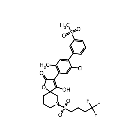 Cc1cc(-c2cccc(S(C)(=O)=O)c2)c(Cl)cc1C1=C(O)C2(CCCN(S(=O)(=O)CCCC(F)(F)F)C2)OC1=O